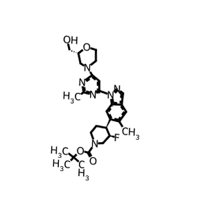 Cc1nc(N2CCO[C@@H](CO)C2)cc(-n2ncc3cc(C)c([C@@H]4CCN(C(=O)OC(C)(C)C)C[C@@H]4F)cc32)n1